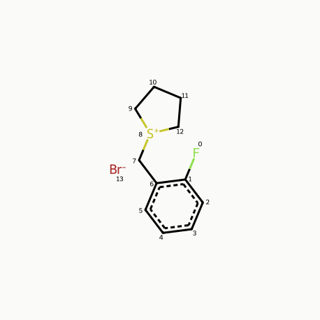 Fc1ccccc1C[S+]1CCCC1.[Br-]